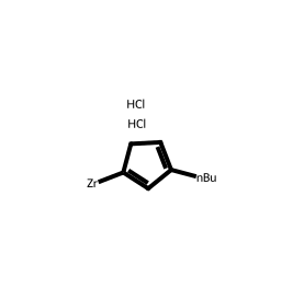 CCCCC1=CC[C]([Zr])=C1.Cl.Cl